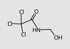 O=C(NCO)C(Cl)(Cl)Cl